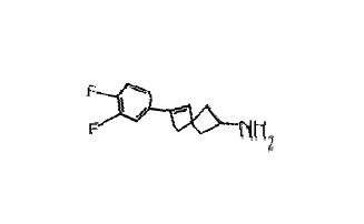 NC1CC2(C=C(c3ccc(F)c(F)c3)C2)C1